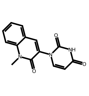 Cn1c(=O)c(-n2ccc(=O)[nH]c2=O)cc2ccccc21